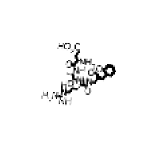 C[C@H](NC(=O)[C@@H](N)CCC(=O)O)C(=O)N[C@@H](CCCNC(=N)N)C(=O)NCc1cc2ccccc2oc1=O